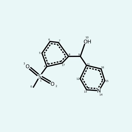 CS(=O)(=O)c1cccc(C(O)c2ccncc2)c1